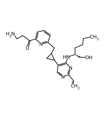 C=Cc1ncc(C2CC2Cc2cccc(C(=O)CCN)n2)c(N[C@H](CO)CCCC)n1